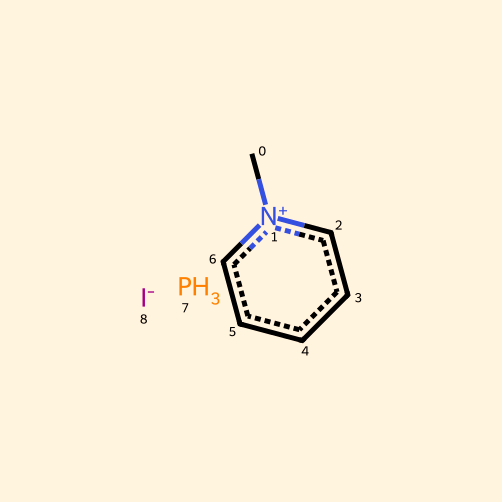 C[n+]1ccccc1.P.[I-]